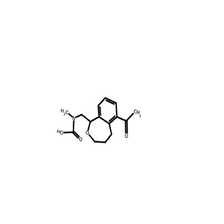 CC(=O)c1cccc2c1CCCOC2CN(C)C(=O)O